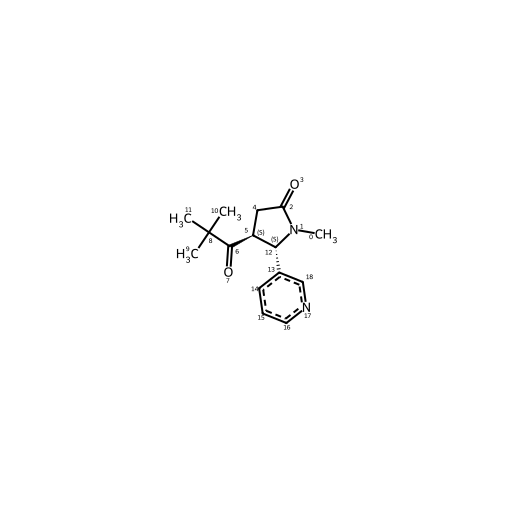 CN1C(=O)C[C@H](C(=O)C(C)(C)C)[C@H]1c1cccnc1